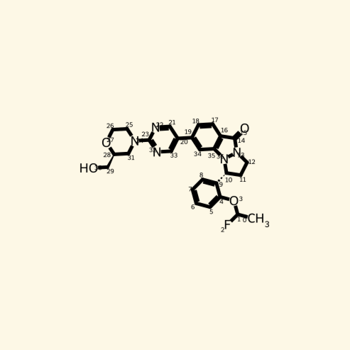 CC(F)Oc1ccccc1[C@H]1CCn2c(=O)c3ccc(-c4cnc(N5CCO[C@H](CO)C5)nc4)cc3n21